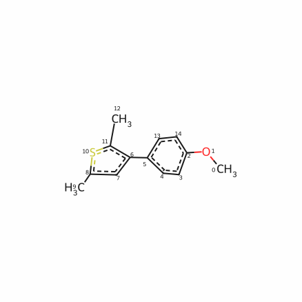 COc1c[c]c(-c2cc(C)sc2C)cc1